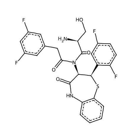 N[C@@H](CO)C(=O)N(C(=O)Cc1cc(F)cc(F)c1)[C@@H]1C(=O)Nc2ccccc2S[C@@H]1c1cc(F)ccc1F